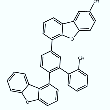 N#Cc1ccc2oc3c(-c4ccc(-c5cccc6oc7ccccc7c56)c(-c5ccccc5C#N)c4)cccc3c2c1